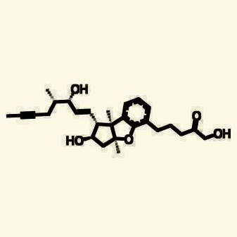 CC#CC[C@H](C)[C@H](O)/C=C/[C@H]1[C@H](O)C[C@]2(C)Oc3c(CCCC(=O)CO)cccc3[C@]12C